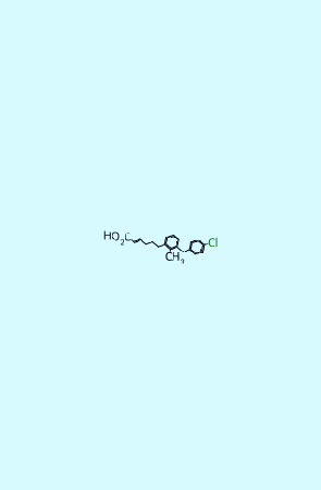 Cc1c(CCCC=CC(=O)O)cccc1Cc1ccc(Cl)cc1